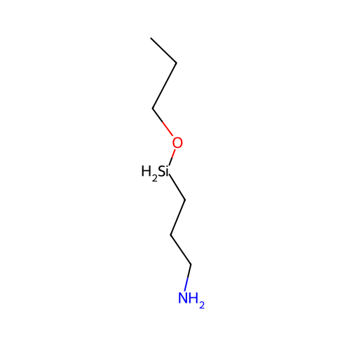 CCCO[SiH2]CCCN